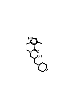 Cc1c[nH]c(C)c1C(=O)N(C)CC(O)CN1CCOCC1